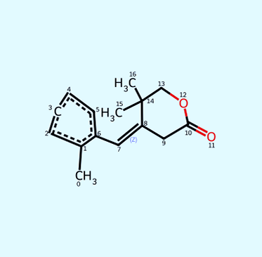 Cc1ccccc1/C=C1/CC(=O)OCC1(C)C